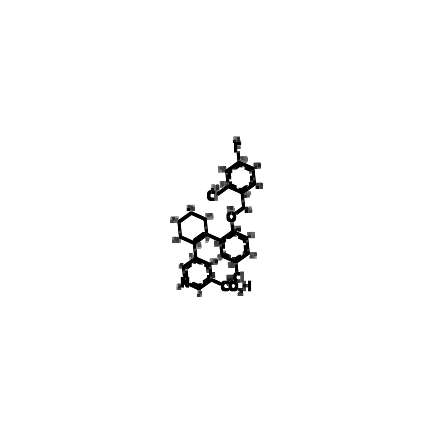 O=C(O)c1cncc(C2=C(c3cc(Cl)ccc3OCc3ccc(F)cc3Cl)CCCC2)c1